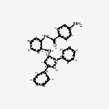 Nc1ccc(C(=O)Nc2ccccc2Nc2cc(-c3ccccc3)nn2-c2ccccc2)cc1